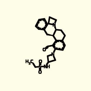 CCS(=O)(=O)NC1CN(c2ccc3c(c2C=O)[C@@H](Cc2ccccc2)[C@@H](N2CCC2)CC3)C1